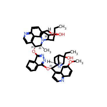 CCC1(O)CN2CCC1C[C@@H]2[C@@H](Oc1nnc(O[C@H](c2ccnc3ccc(CO)cc23)[C@@H](C)N2CC[C@@H]3C2CC3(O)CC)c2ccccc12)c1ccnc2ccc(OC)cc12